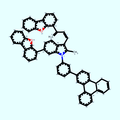 C=C(/C=C\c1c(C)n(-c2cccc(-c3ccc4c(c3)-c3ccccc3C3=CC=CCC34)c2)c2cc(-c3cccc4c3oc3ccccc34)ccc12)c1cccc2c1oc1ccccc12